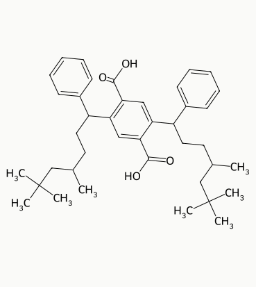 CC(CCC(c1ccccc1)c1cc(C(=O)O)c(C(CCC(C)CC(C)(C)C)c2ccccc2)cc1C(=O)O)CC(C)(C)C